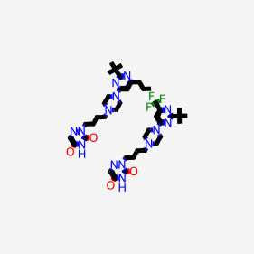 CC(C)(C)c1nc(N2CCN(CCCCn3ncc(=O)[nH]c3=O)CC2)cc(C(F)(F)F)n1.CCCc1cc(N2CCN(CCCCn3ncc(=O)[nH]c3=O)CC2)nc(C(C)(C)C)n1